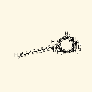 CCCCCCCCCCCCCCCCCCCC[Si]1(C)O[SiH2]O[SiH2]O[SiH2]O[SiH2]O[SiH2]O[SiH2]O[SiH2]O[SiH2]O[SiH2]O1